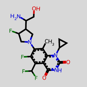 Cc1c(N2CC(F)C(C(N)CO)C2)c(F)c(C(F)F)c2c(=O)[nH]c(=O)n(C3CC3)c12